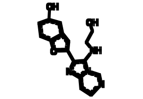 OCCNc1c(-c2cc3cc(O)ccc3o2)nc2ccncn12